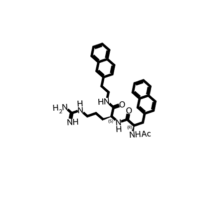 CC(=O)N[C@H](Cc1ccc2ccccc2c1)C(=O)N[C@@H](CCCNC(=N)N)C(=O)NCCc1ccc2ccccc2c1